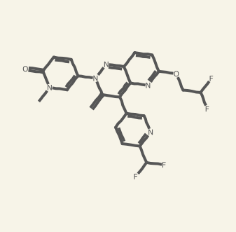 C=C1C(c2ccc(C(F)F)nc2)=c2nc(OCC(F)F)ccc2=NN1c1ccc(=O)n(C)c1